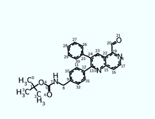 CC(C)(C)OC(=O)NCc1ccc(-c2nc3ccnc(C=O)c3cc2-c2ccccc2)cc1